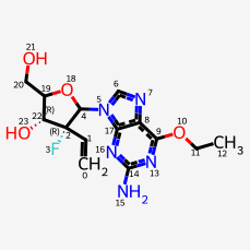 C=C[C@]1(F)C(n2cnc3c(OCC)nc(N)nc32)OC(CO)[C@H]1O